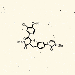 CNC(=O)C(Cc1ccc(-n2ccn(C(C)(C)C)c2=O)cc1)NC(=O)c1ccc(OC(C)C)c(Cl)c1